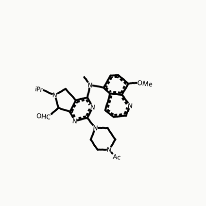 COc1ccc(N(C)c2nc(N3CCN(C(C)=O)CC3)nc3c2CN(C(C)C)C3C=O)c2cccnc12